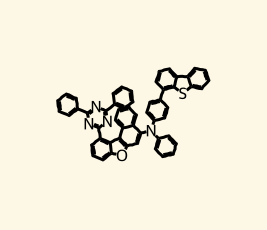 c1ccc(-c2nc(-c3ccccc3)nc(-c3cccc4oc5cc(N(c6ccccc6)c6ccc(-c7cccc8c7sc7ccccc78)cc6)c6ccccc6c5c34)n2)cc1